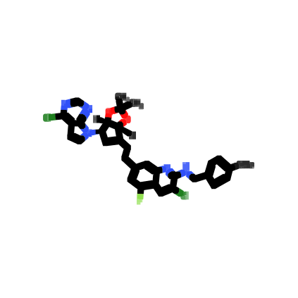 COc1ccc(CNc2nc3cc(CCC4=C[C@@H](n5ccc6c(Cl)ncnc65)[C@@H]5OC(C)(C)O[C@H]45)cc(F)c3cc2Cl)cc1